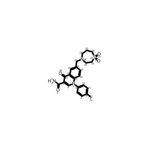 NC(=O)c1cn(-c2ccc(F)cc2)c2ccc(CN3CCCS(=O)(=O)CC3)cc2c1=O